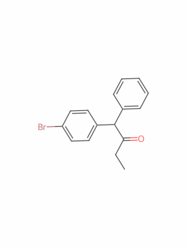 CCC(=O)C(c1ccccc1)c1ccc(Br)cc1